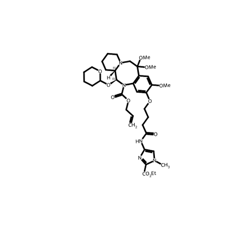 C=CCOC(=O)N1c2cc(OCCCC(=O)Nc3cn(C)c(C(=O)OCC)n3)c(OC)cc2C(OC)(OC)CN2CCCC[C@H]2[C@@H]1OC1CCCCO1